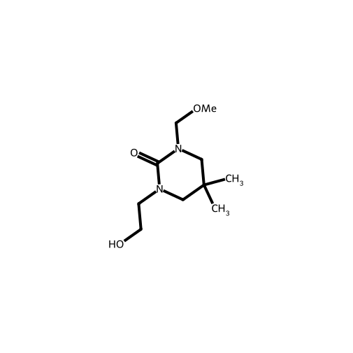 COCN1CC(C)(C)CN(CCO)C1=O